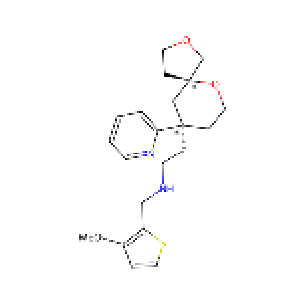 COc1ccsc1CNCC[C@@]1(c2ccccn2)CCO[C@]2(CCOC2)C1